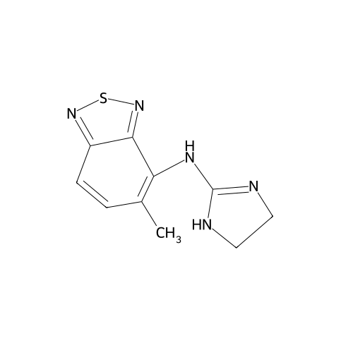 Cc1ccc2nsnc2c1NC1=NCCN1